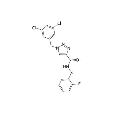 O=C(NSc1ccccc1F)c1cn(Cc2cc(Cl)cc(Cl)c2)nn1